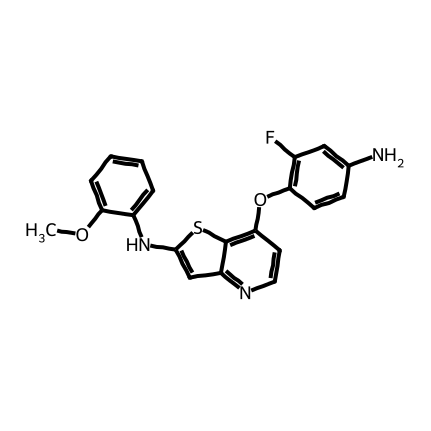 COc1ccccc1Nc1cc2nccc(Oc3ccc(N)cc3F)c2s1